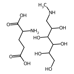 CNCC(O)C(O)C(O)C(O)CO.NC(CCC(=O)O)C(=O)O